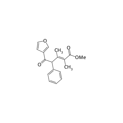 COC(=O)C(C)=C(C)C(C(=O)c1ccoc1)c1ccccc1